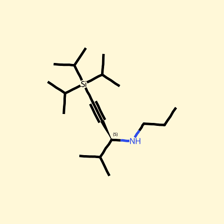 CCCN[C@H](C#C[Si](C(C)C)(C(C)C)C(C)C)C(C)C